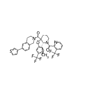 CCC[C@H]1N(C(=O)c2ncccc2C(F)(F)F)CCC[C@@]1(Oc1csc(C(F)(F)F)c1)C(=O)N1CCc2cc(-c3ccsc3)ccc2C1